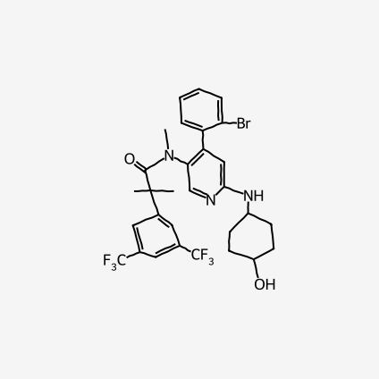 CN(C(=O)C(C)(C)c1cc(C(F)(F)F)cc(C(F)(F)F)c1)c1cnc(NC2CCC(O)CC2)cc1-c1ccccc1Br